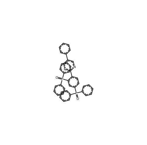 O=P(c1ccccc1)(c1ccccc1)c1ccc(-c2ncc(-c3ccccc3)cn2)c(P(=O)(c2ccccc2)c2ccccc2)c1